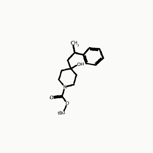 CC(CC1(O)CCN(C(=O)OC(C)(C)C)CC1)c1ccccc1